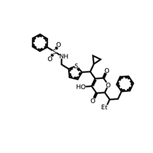 CCC(Cc1ccccc1)C1OC(=O)C(C(c2ccc(CNS(=O)(=O)c3ccccc3)s2)C2CC2)=C(O)C1=O